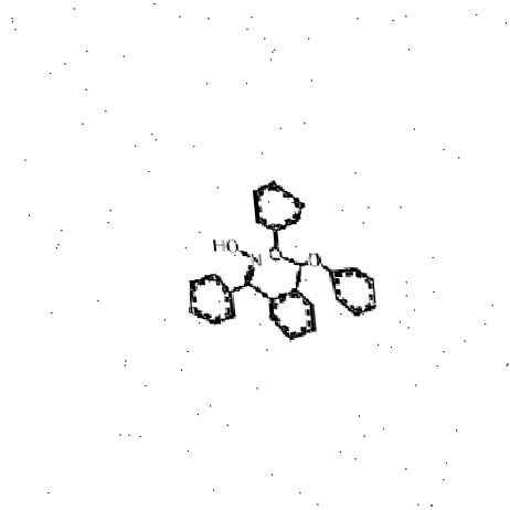 ON=C(c1ccccc1)c1ccccc1C(Oc1ccccc1)Oc1ccccc1